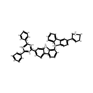 C1=C(c2ccc3c(c2)c2ccccc2n3-c2cccc3c2oc2cc(-c4nc(-c5ccccc5)nc(-c5ccccc5)n4)ccc23)CCCC1